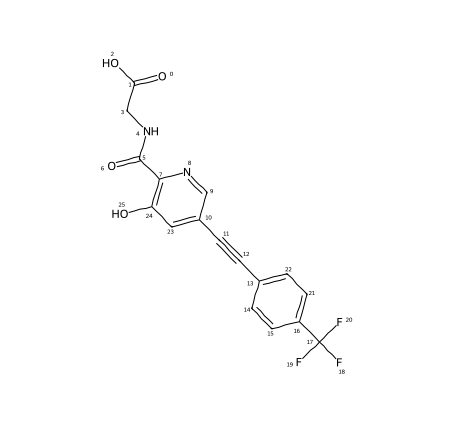 O=C(O)CNC(=O)c1ncc(C#Cc2ccc(C(F)(F)F)cc2)cc1O